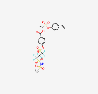 C=Cc1ccc(OS(=O)(=O)C(C)OC(=O)c2ccc(OS(=O)(=O)C(F)(F)C(F)(F)C(F)(F)S(=O)(=O)NS(=O)(=O)C(F)(F)F)cc2)cc1